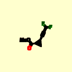 COC(=O)[C@H]1C[C@@H]1C#CC(F)F